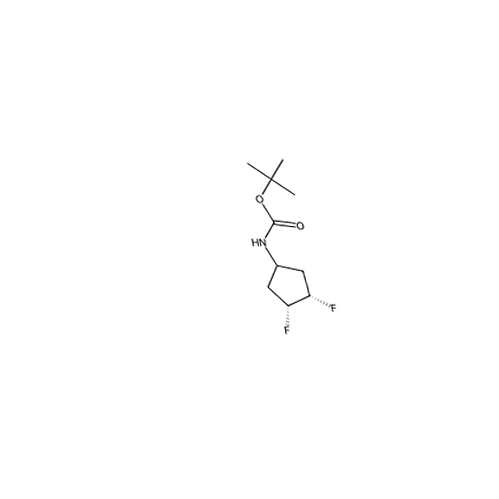 CC(C)(C)OC(=O)NC1C[C@@H](F)[C@@H](F)C1